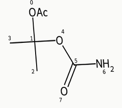 CC(=O)OC(C)(C)OC(N)=O